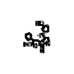 O=C(O)C(=Cc1c[nH]c2nccc(Nc3cccc(O)c3)c12)c1ccccc1